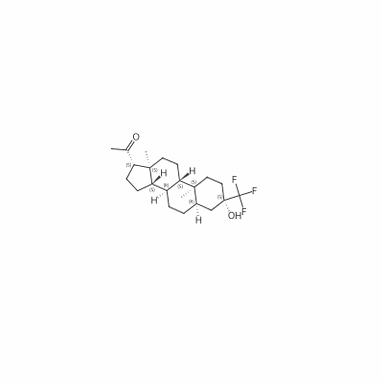 CC(=O)[C@H]1CC[C@H]2[C@@H]3CC[C@@H]4C[C@](O)(C(F)(F)F)CC[C@]4(C)[C@H]3CC[C@]12C